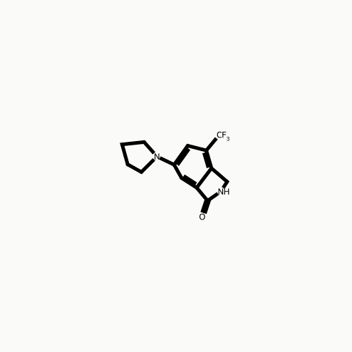 O=C1NCc2c1cc(N1CCCC1)cc2C(F)(F)F